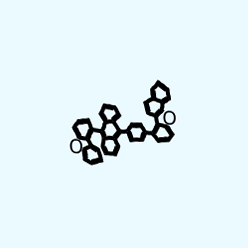 c1ccc2c(c1)ccc1c2oc2cccc(-c3ccc(-c4c5ccccc5c(-c5cccc6oc7ccccc7c56)c5ccccc45)cc3)c21